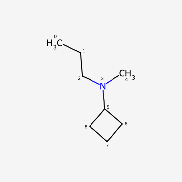 CCCN(C)C1CCC1